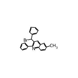 Cc1ccc2nc(-c3ccccc3)c(C(Br)c3ccccc3)cc2c1